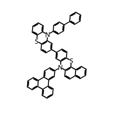 c1ccc(-c2ccc(N3c4ccccc4Sc4ccc(-c5ccc6c(c5)N(c5ccc7c8ccccc8c8ccccc8c7c5)c5ccc7ccccc7c5S6)cc43)cc2)cc1